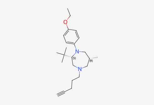 C#CCCCN1C[C@@H](C)CN(c2ccc(OCC)cc2)[C@@H](C(C)(C)C)C1